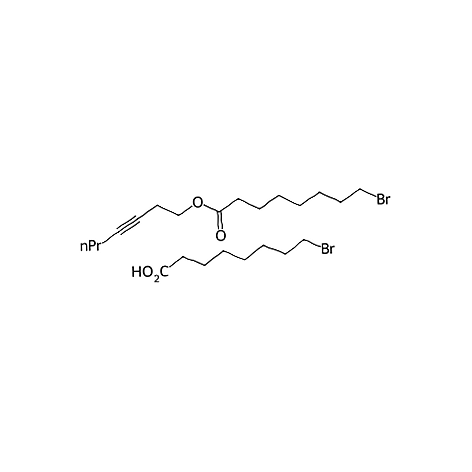 CCCC#CCCOC(=O)CCCCCCCBr.O=C(O)CCCCCCCBr